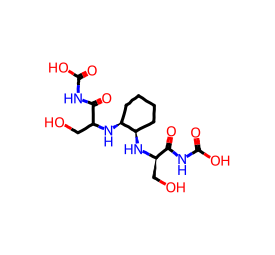 O=C(O)NC(=O)C(CO)N[C@H]1CCCC[C@H]1N[C@H](CO)C(=O)NC(=O)O